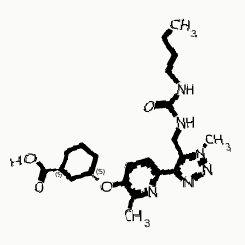 CCCCNC(=O)NCc1c(-c2ccc(O[C@H]3CCC[C@H](C(=O)O)C3)c(C)n2)nnn1C